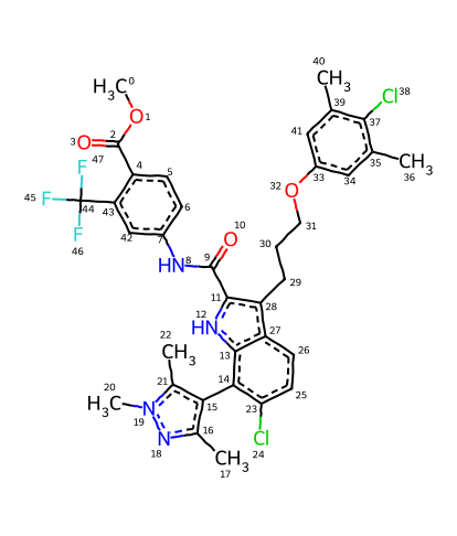 COC(=O)c1ccc(NC(=O)c2[nH]c3c(-c4c(C)nn(C)c4C)c(Cl)ccc3c2CCCOc2cc(C)c(Cl)c(C)c2)cc1C(F)(F)F